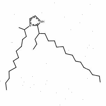 CCCCCCCCCCCCCCC(CCC)c1[nH]cc[n+]1C(C)CCCCCCCCCCC